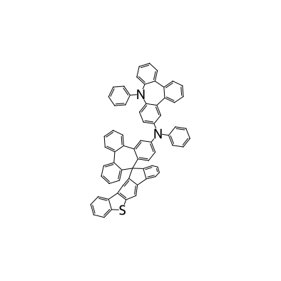 c1ccc(N(c2ccc3c(c2)-c2ccccc2-c2ccccc2N3c2ccccc2)c2ccc3c(c2)-c2ccccc2-c2ccccc2C32c3ccccc3-c3cc4sc5ccccc5c4cc32)cc1